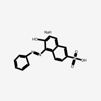 O=S(=O)(O)c1ccc2c(N=Nc3ccccc3)c(O)ccc2c1.[NaH]